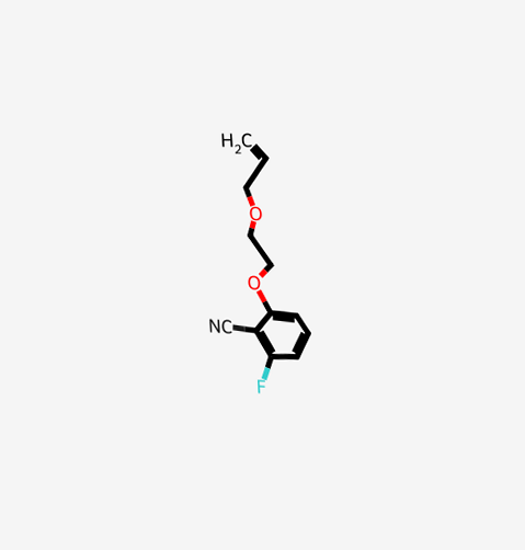 C=CCOCCOc1cccc(F)c1C#N